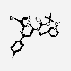 CC(C)(C)OC(=O)N(Cc1ccc[n+]([O-])c1)c1cc(-c2ccc(F)cc2)nc2c(Br)cnn12